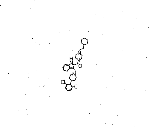 O=C(c1[nH]c2ccccc2c1CN1CCC(c2c(Cl)cccc2Cl)CC1)N1CCN(CCC2CCCCC2)CC1